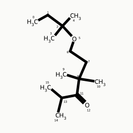 CCC(C)(C)OCCC(C)(C)C(=O)C(C)C